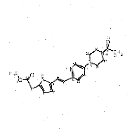 COC(=O)Cc1ccc(C=Cc2ccc(N3CCN(C(C)=O)CC3)cn2)s1